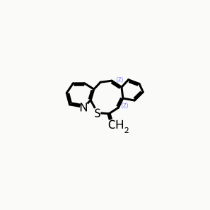 C=C1/C=c2/cccc/c2=C/CC2=C(N=C=CC=C2)S1